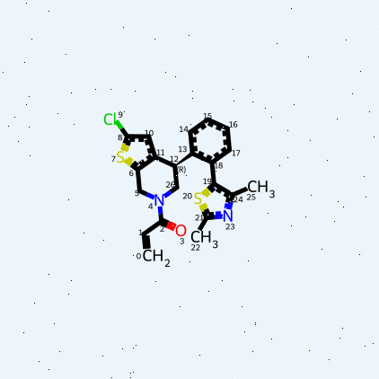 C=CC(=O)N1Cc2sc(Cl)cc2[C@@H](c2ccccc2-c2sc(C)nc2C)C1